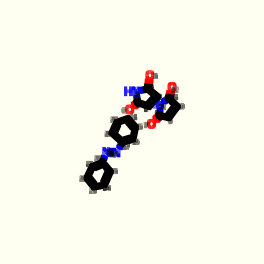 O=C1C=CC(=O)N1.O=C1C=CC(=O)N1.c1ccc(N=Nc2ccccc2)cc1